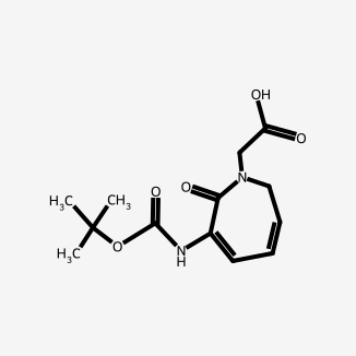 CC(C)(C)OC(=O)NC1=CC=CCN(CC(=O)O)C1=O